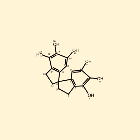 Oc1cc2c(c(O)c1O)CCC21CCc2c1cc(O)c(O)c2O